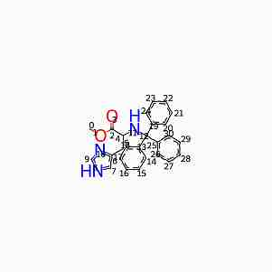 COC(=O)C(Cc1c[nH]cn1)NC(c1ccccc1)(c1ccccc1)c1ccccc1